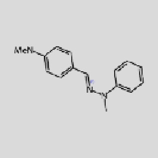 CNc1ccc(/C=N/N(C)c2ccccc2)cc1